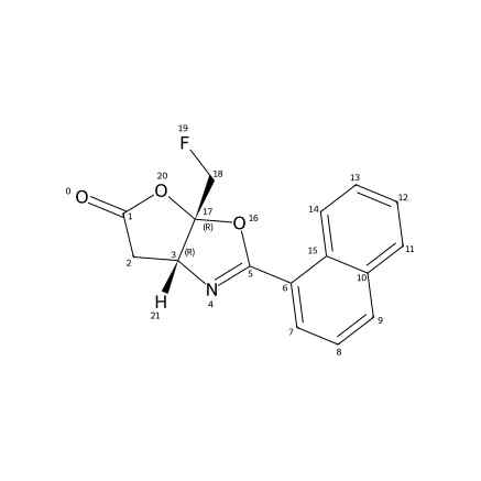 O=C1C[C@H]2N=C(c3cccc4ccccc34)O[C@@]2(CF)O1